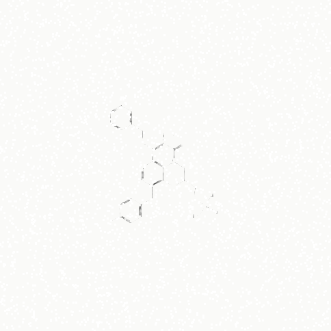 CCOC(=O)c1c(OCc2ccccc2)c2ncc(Cc3ccc(F)cc3)c3c2n(c1=O)CC(CO[Si](C(C)C)(C(C)C)C(C)C)O3